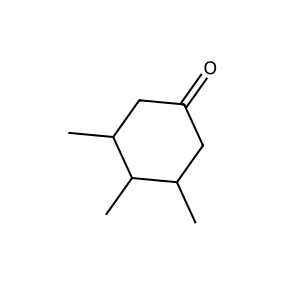 CC1CC(=O)CC(C)C1C